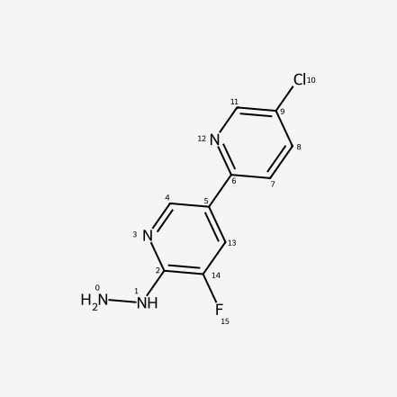 NNc1ncc(-c2ccc(Cl)cn2)cc1F